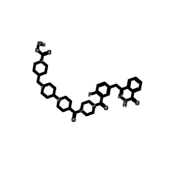 CC(C)(C)OC(=O)N1CCC(CN2CCC(N3CCC(C(=O)N4CCN(C(=O)c5cc(Cc6n[nH]c(=O)c7ccccc67)ccc5F)CC4)CC3)CC2)CC1